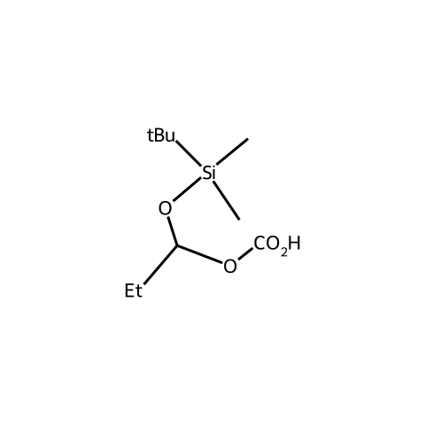 CCC(OC(=O)O)O[Si](C)(C)C(C)(C)C